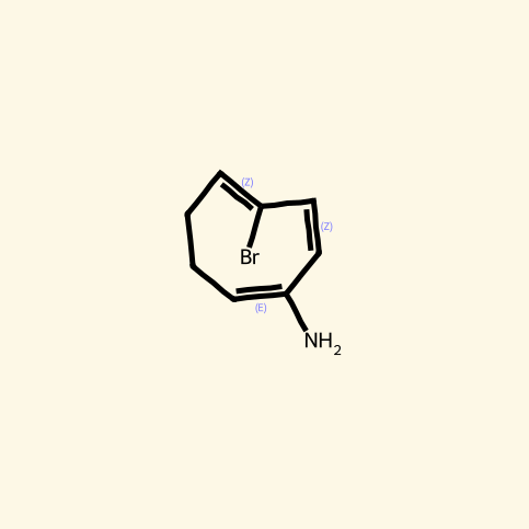 NC1=C/CC/C=C(Br)/C=C\1